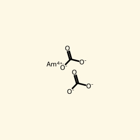 O=C([O-])[O-].O=C([O-])[O-].[Am+4]